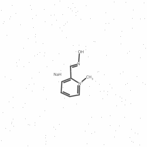 C[n+]1ccccc1C=NO.[NaH]